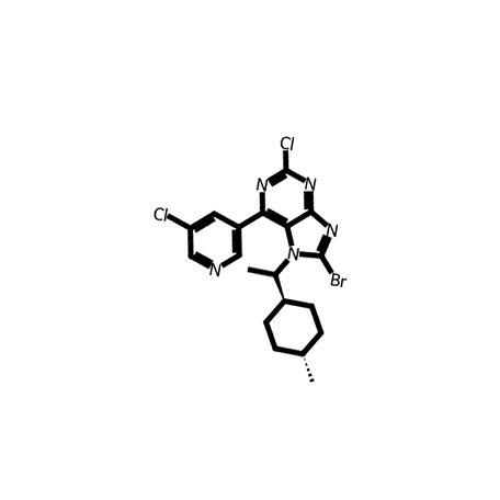 CC([C@H]1CC[C@H](C)CC1)n1c(Br)nc2nc(Cl)nc(-c3cncc(Cl)c3)c21